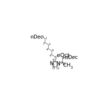 CCCCCCCCCCCCCCCCC(CCCCCCCC)c1nccn1C(C)CCCCCCCCCCC